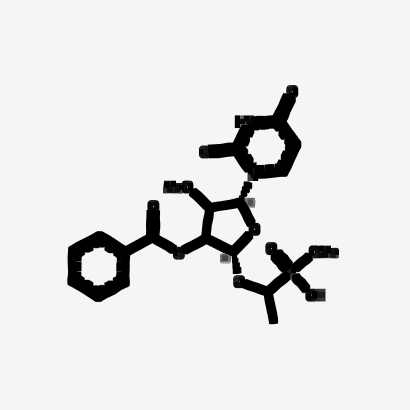 COC1C(OC(=O)c2ccccc2)[C@@H](OC(C)P(=O)(O)OC)O[C@H]1n1ccc(=O)[nH]c1=O